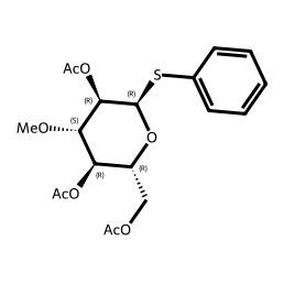 CO[C@@H]1[C@@H](OC(C)=O)[C@@H](Sc2ccccc2)O[C@H](COC(C)=O)[C@H]1OC(C)=O